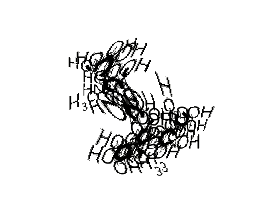 CC(=O)N[C@H]1[C@H](O[C@H]2[C@@H](O)[C@@H](CO)O[C@@H](O[C@H]3[C@H](O[C@@H]4O[C@@H](C)[C@@H](O)[C@@H](O)[C@@H]4O)[C@@H](NC(C)=O)[C@H](O[C@H]4[C@@H](O)[C@@H](CO)O[C@@H](O[C@H]5[C@H](O)[C@@H](O)[C@H](O)O[C@@H]5CO)[C@@H]4O)O[C@@H]3CO)[C@@H]2O)O[C@H](CO)[C@@H](O[C@@H]2O[C@H](CO)[C@H](O)[C@H](O)[C@H]2O)[C@@H]1O